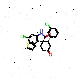 O=C1C[C@H](c2ccsc2)[C@@]2(C(=O)Nc3cc(Cl)ccc32)[C@H](c2cccc(Cl)c2)C1